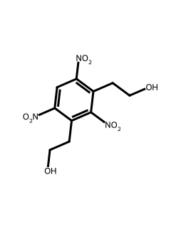 O=[N+]([O-])c1cc([N+](=O)[O-])c(CCO)c([N+](=O)[O-])c1CCO